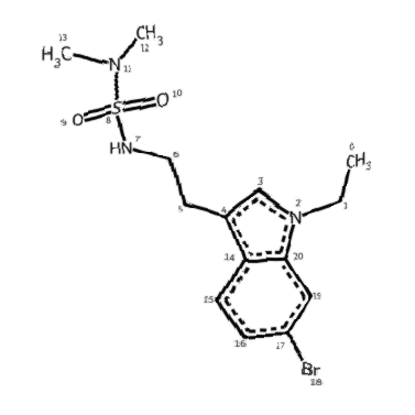 CCn1cc(CCNS(=O)(=O)N(C)C)c2ccc(Br)cc21